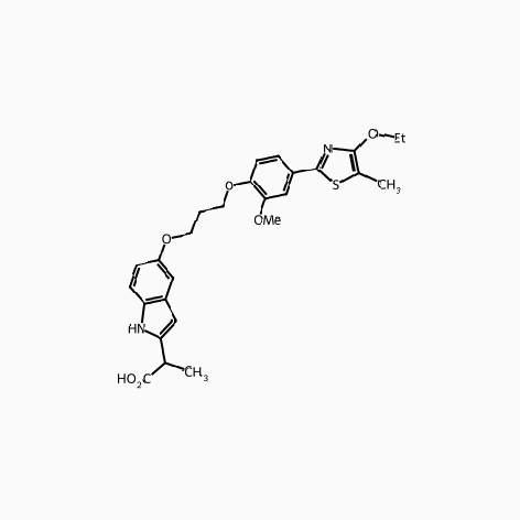 CCOc1nc(-c2ccc(OCCCOc3ccc4[nH]c(C(C)C(=O)O)cc4c3)c(OC)c2)sc1C